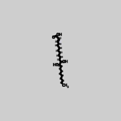 CCCCCCCCCC(O)C(O)CCCCCCCC/C=C/C(=O)O